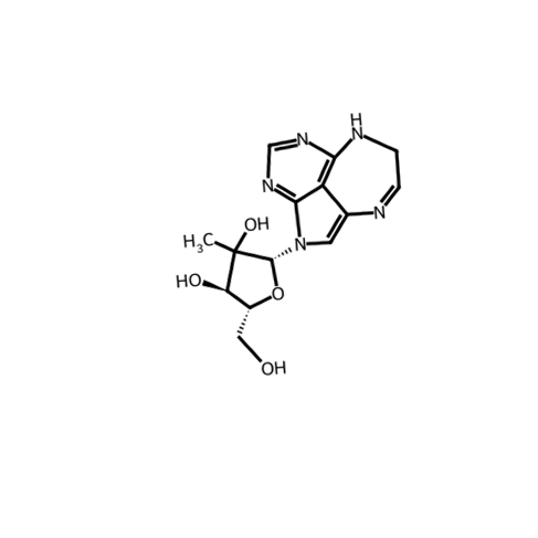 CC1(O)[C@H](O)[C@@H](CO)O[C@H]1n1cc2c3c(ncnc31)NCC=N2